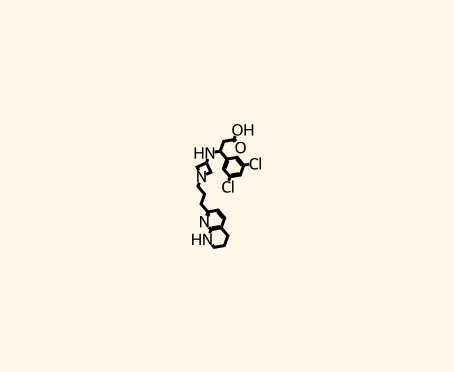 O=C(O)CC(NC1CN(CCCc2ccc3c(n2)NCCC3)C1)c1cc(Cl)cc(Cl)c1